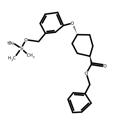 CC(C)(C)[Si](C)(C)OCc1cccc(O[C@H]2CC[C@H](C(=O)OCc3ccccc3)CC2)c1